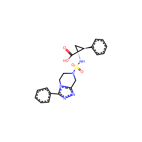 O=C(O)[C@@]1(NS(=O)(=O)N2CCn3c(nnc3-c3ccccc3)C2)C[C@H]1c1ccccc1